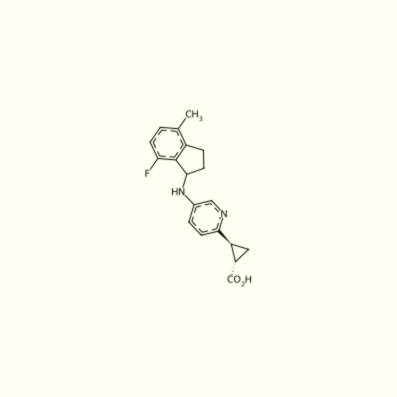 Cc1ccc(F)c2c1CCC2Nc1ccc([C@H]2C[C@@H]2C(=O)O)nc1